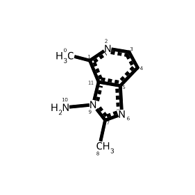 Cc1nccc2nc(C)n(N)c12